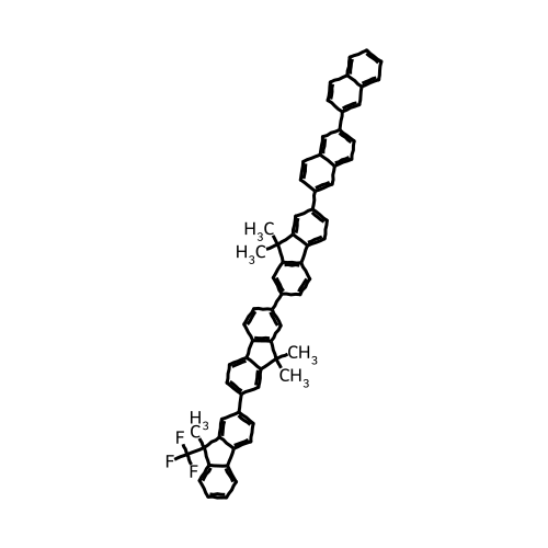 CC1(C)c2cc(-c3ccc4c(c3)C(C)(C)c3cc(-c5ccc6cc(-c7ccc8ccccc8c7)ccc6c5)ccc3-4)ccc2-c2ccc(-c3ccc4c(c3)C(C)(C(F)(F)F)c3ccccc3-4)cc21